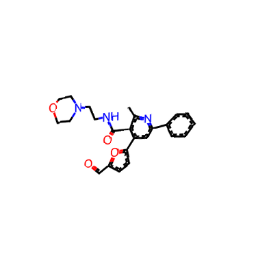 Cc1nc(-c2ccccc2)cc(-c2ccc(C=O)o2)c1C(=O)NCCN1CCOCC1